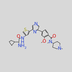 COc1cc(-c2cncc(-c3cc(NC(=O)C(N)C4CCC4)cs3)n2)ccc1C(=O)N(C)C1CCN(C)CC1